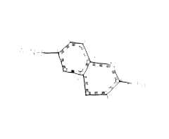 CC(=O)Nc1ccc2nc(C=O)ccc2c1